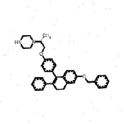 C[C@H](COc1ccc(C2=C(c3ccccc3)CCc3cc(OCc4ccccc4)ccc32)cc1)N1CCNCC1